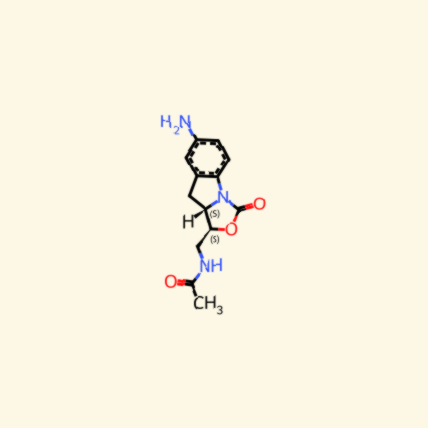 CC(=O)NC[C@@H]1OC(=O)N2c3ccc(N)cc3C[C@@H]12